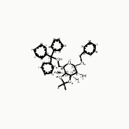 CC1(C)O[C@@H]2[C@@H](O)[C@H](OCc3ccccc3)O[C@H](COC(c3ccccc3)(c3ccccc3)c3ccccc3)[C@@H]2O1